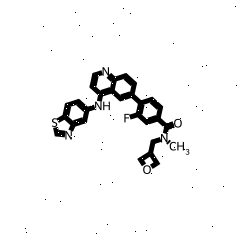 CN(CC1COC1)C(=O)c1ccc(-c2ccc3nccc(Nc4ccc5scnc5c4)c3c2)c(F)c1